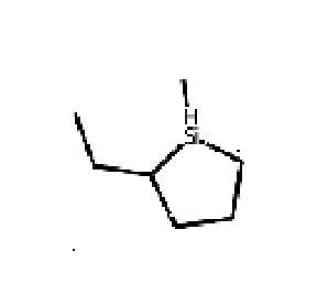 CCC1CCC[SiH]1C